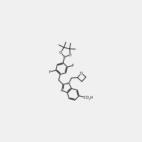 CC1(C)OB(c2cc(F)c(Cc3nc4ccc(C(=O)O)cc4n3CC3CCO3)cc2F)OC1(C)C